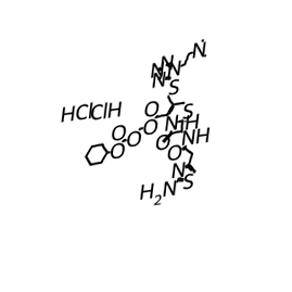 CN(C)CCn1nnnc1SCC1=C(C(=O)OCOC(=O)OC2CCCCC2)N2C(=O)[C@@H](NC(=O)Cc3csc(N)n3)[C@@H]2SC1.Cl.Cl